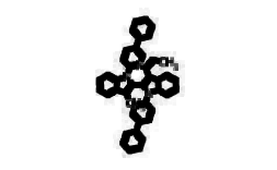 C/C=C\C1=C(c2c(C)c3ccccc3n2-c2ccc(-c3ccccc3)cn2)N(c2ccc(-c3ccccc3)cn2)C2C=CC=CC12